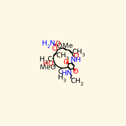 C=CCNC1=C2C[C@H](C)C[C@@H](OC)[C@@H](O)[C@@H](C)/C=C(\C)[C@H](OC(N)=O)[C@H](OC)/C=C/C=C(/C)C(=O)NC(=CC1=O)C2=O